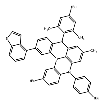 Cc1cc2c3c(c1)N(c1c(C)cc(C(C)(C)C)cc1C)c1ccc(-c4cccc5sccc45)cc1B3c1cc(C(C)(C)C)ccc1N2c1ccc(C(C)(C)C)cc1